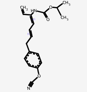 C=C/C(=C\C=C\Cc1ccc(OC#N)cc1)NC(=O)OC(C)C